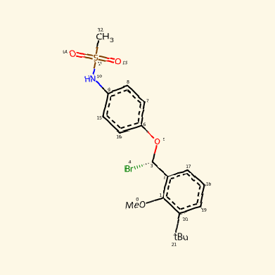 COc1c([C@H](Br)Oc2ccc(NS(C)(=O)=O)cc2)cccc1C(C)(C)C